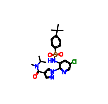 CC(C)N(C)C(=O)c1cnn(-c2ncc(Cl)cc2NS(=O)(=O)c2ccc(C(C)(C)C)cc2)c1